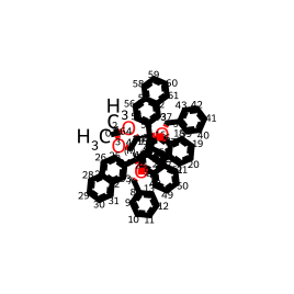 CC1(C)O[C@@H](C(OCc2ccccc2)(c2ccc3ccccc3c2)c2ccc3ccccc3c2)[C@H](C(OCc2ccccc2)(c2ccc3ccccc3c2)c2ccc3ccccc3c2)O1